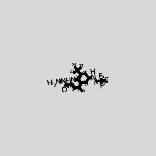 Cc1cc(C(=O)NN)nc2c1=CC(NCC(F)(F)F)CC=2C(C)(C)C